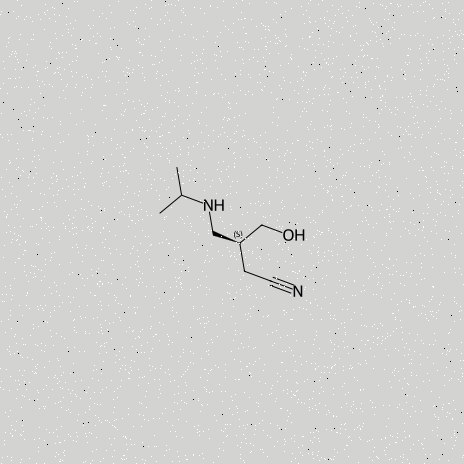 CC(C)NC[C@@H](CO)CC#N